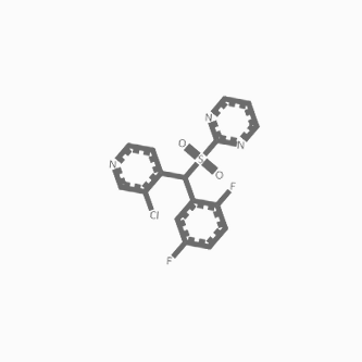 O=S(=O)(c1ncccn1)C(c1cc(F)ccc1F)c1ccncc1Cl